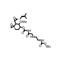 COC1C(OC(=O)NC(=O)CNCCNC(=O)OC(C)(C)C)CC[C@]2(CO2)C1[C@@]1(C)O[C@@H]1CC=C(C)C